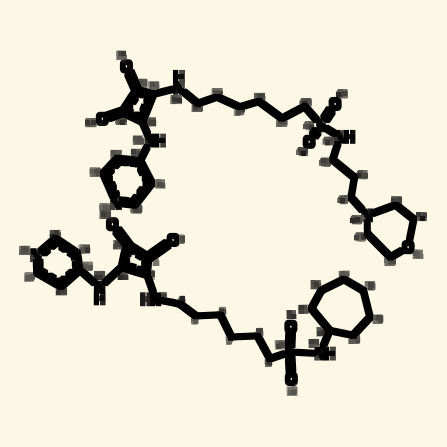 O=c1c(NCCCCCCS(=O)(=O)NC2CCCCCC2)c(Nc2ccncc2)c1=O.O=c1c(NCCCCCCS(=O)(=O)NCCCN2CCOCC2)c(Nc2ccncc2)c1=O